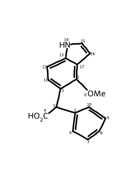 COc1c(C(C(=O)O)c2ccccc2)ccc2[nH]ccc12